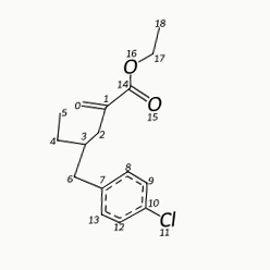 C=C(CC(CC)Cc1ccc(Cl)cc1)C(=O)OCC